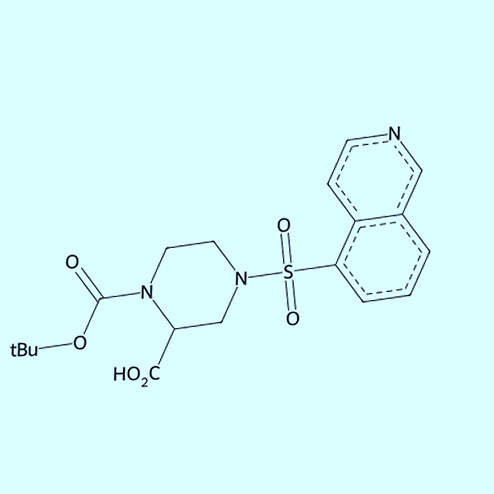 CC(C)(C)OC(=O)N1CCN(S(=O)(=O)c2cccc3cnccc23)CC1C(=O)O